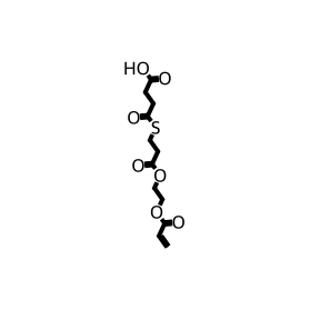 C=CC(=O)OCCOC(=O)CCSC(=O)CCC(=O)O